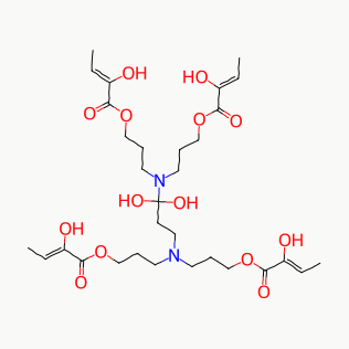 CC=C(O)C(=O)OCCCN(CCCOC(=O)C(O)=CC)CCC(O)(O)N(CCCOC(=O)C(O)=CC)CCCOC(=O)C(O)=CC